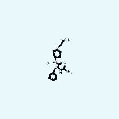 C=CCOc1ccc(N(C)C(=O)[C@H](Cc2ccccc2)NC(N)=O)cc1